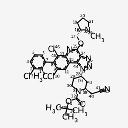 Cc1c(Cl)cccc1-c1c(Cl)cc2c(nc(OC[C@@H]3CCCN3C)c3nnn([C@H]4CCN(C(=O)OC(C)(C)C)[C@H](CC#N)C4)c32)c1Cl